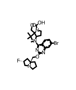 COCC1(C(C)(C)C)C(N(C)c2nc(OC[C@@]34CCCN3C[C@H](F)C4)nc3cc(Br)ccc23)CCN1C(=O)O